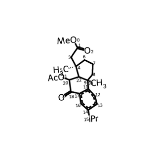 COC(=O)C[C@@]1(C)CCC[C@]2(C)c3ccc(C(C)C)cc3C(=O)C(OC(C)=O)C12